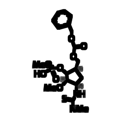 CNC(=S)N[C@@H]1C[C@H](COC(=O)OCc2ccccc2)C(OP(=O)(O)OC)[C@@H]1OC